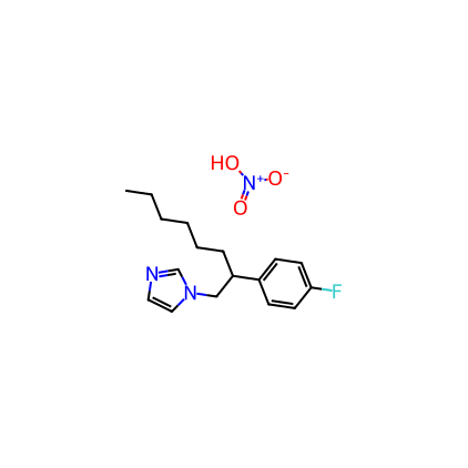 CCCCCCC(Cn1ccnc1)c1ccc(F)cc1.O=[N+]([O-])O